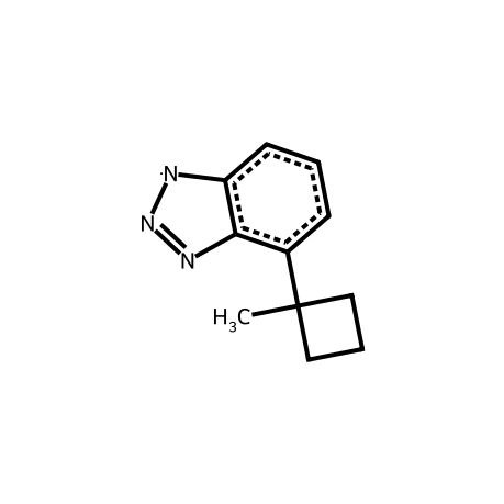 CC1(c2cccc3c2N=N[N]3)CCC1